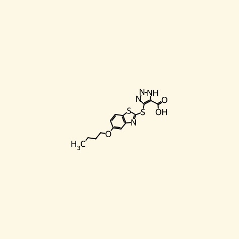 CCCCOc1ccc2sc(Sc3nn[nH]c3C(=O)O)nc2c1